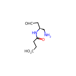 NC[C@H](CC=O)NC(=O)CCC(=O)O